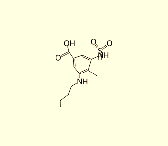 CCCCNc1cc(C(=O)O)cc(N[SH](=O)=O)c1C